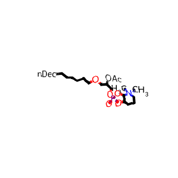 CCCCCCCCCCCCCCCCOCC(COP1(=O)OC2CCC[N+](C)(C)C2O1)OC(C)=O